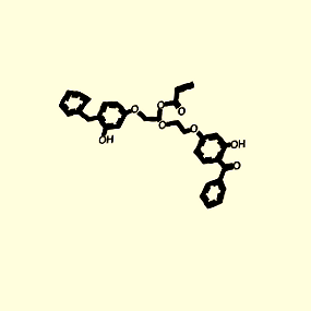 C=CC(=O)OC(COc1ccc(Cc2ccccc2)c(O)c1)OCCOc1ccc(C(=O)c2ccccc2)c(O)c1